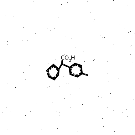 Cc1ccc(C(C(=O)O)c2ccccc2)cc1